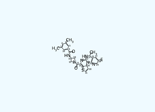 Cc1cc(C)cc(C(=O)NC2CN(C(=O)c3nc(N[C@@H](C)c4cncc(F)c4)nc4ccsc34)C2)c1